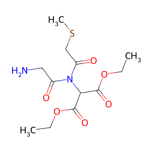 CCOC(=O)C(C(=O)OCC)N(C(=O)CN)C(=O)CSC